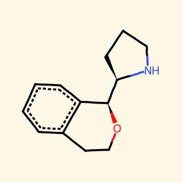 c1ccc2c(c1)CCO[C@@H]2[C@H]1CCCN1